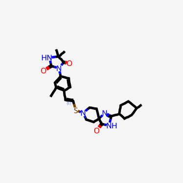 Cc1cc(N2C(=O)NC(C)(C)C2=O)ccc1/C=C/SN1CCC2(CC1)N=C(C1CCC(C)CC1)NC2=O